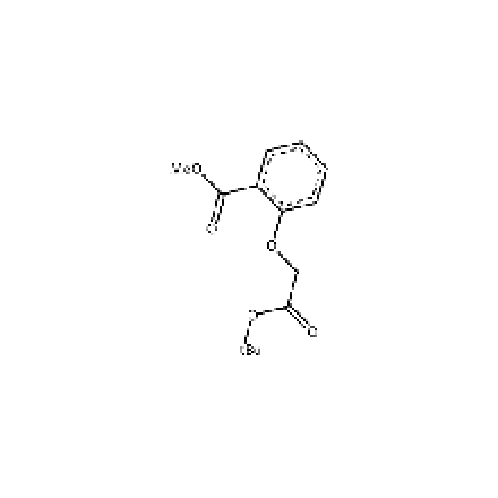 COC(=O)c1ccccc1OCC(=O)OC(C)(C)C